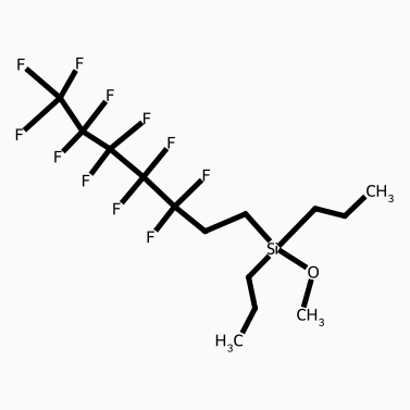 CCC[Si](CCC)(CCC(F)(F)C(F)(F)C(F)(F)C(F)(F)C(F)(F)F)OC